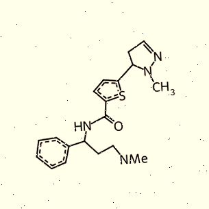 CNCCC(NC(=O)c1ccc(C2CC=NN2C)s1)c1ccccc1